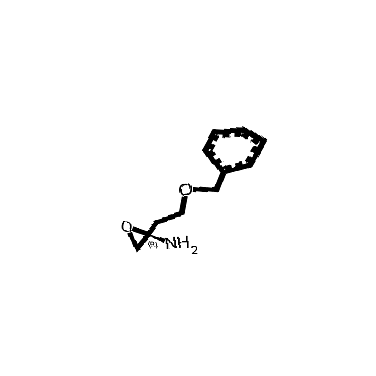 N[C@@]1(CCOCc2ccccc2)CO1